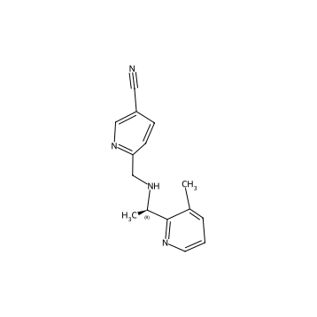 Cc1cccnc1[C@@H](C)NCc1ccc(C#N)cn1